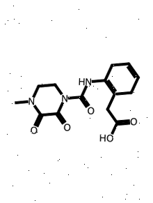 CN1CCN(C(=O)NC2=C(CC(=O)O)CC=CC2)C(=O)C1=O